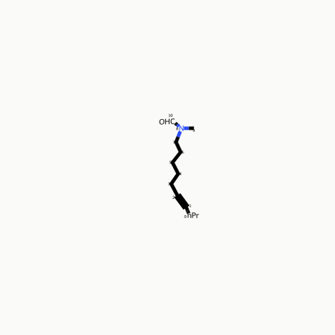 [CH2]CCC#CCCCCCN(C)C=O